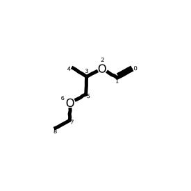 C=COC(C)COCC